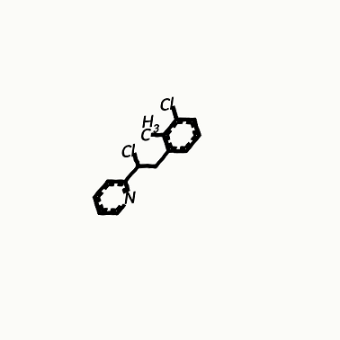 Cc1c(Cl)cccc1CC(Cl)c1ccccn1